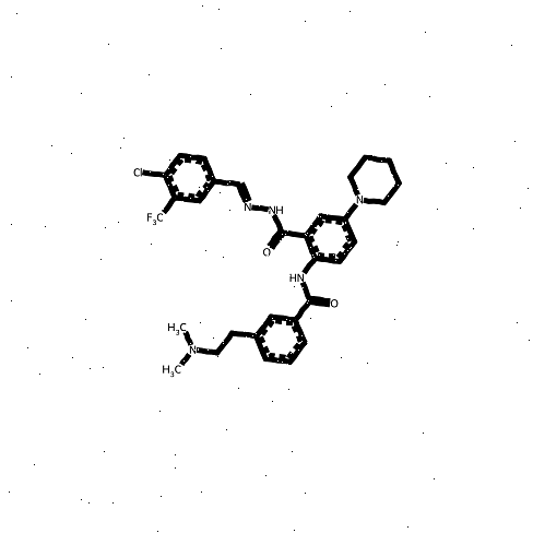 CN(C)CCc1cccc(C(=O)Nc2ccc(N3CCCCC3)cc2C(=O)N/N=C/c2ccc(Cl)c(C(F)(F)F)c2)c1